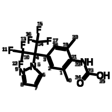 Cc1cc(C(n2cccn2)(C(F)(F)F)C(F)(F)F)cc(C)c1NC(=O)O